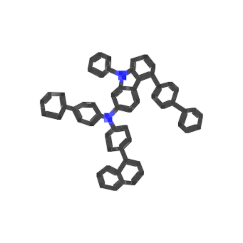 c1ccc(-c2ccc(-c3cccc4c3c3ccc(N(c5ccc(-c6ccccc6)cc5)c5ccc(-c6cccc7ccccc67)cc5)cc3n4-c3ccccc3)cc2)cc1